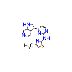 Cc1csc(Nc2nccc(C3CNc4cnccc43)n2)n1